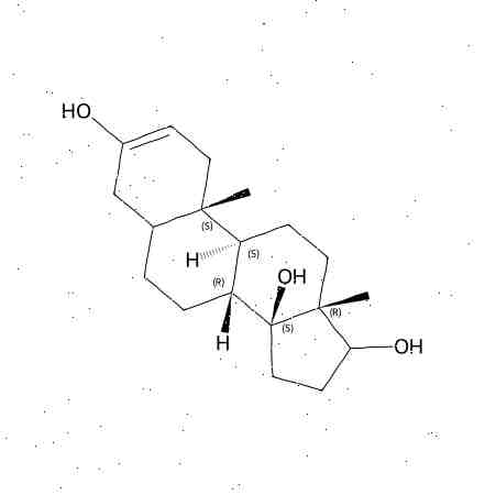 C[C@]12CC=C(O)CC1CC[C@@H]1[C@@H]2CC[C@]2(C)C(O)CC[C@]12O